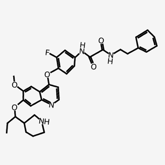 CCC(Oc1cc2nccc(Oc3ccc(NC(=O)C(=O)NCCc4ccccc4)cc3F)c2cc1OC)C1CCCNC1